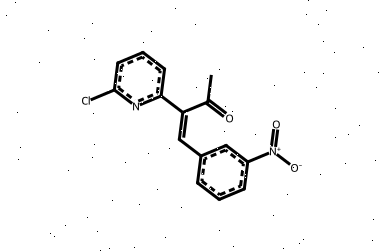 CC(=O)C(=Cc1cccc([N+](=O)[O-])c1)c1cccc(Cl)n1